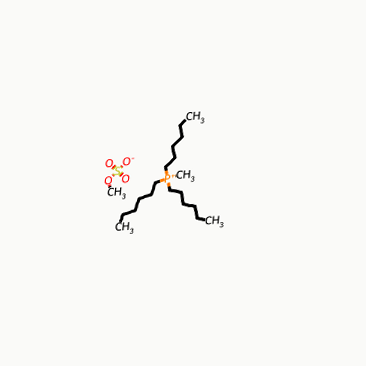 CCCCCC[P+](C)(CCCCCC)CCCCCC.COS(=O)(=O)[O-]